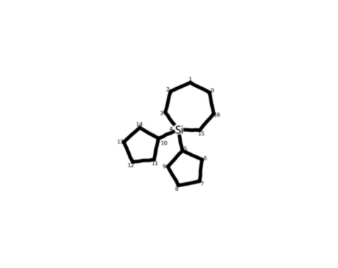 C1CCC[Si](C2CCCC2)(C2CCCC2)CC1